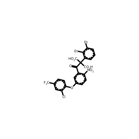 CCc1cccc(C(C(=O)O)(C(=O)O)C(=O)c2cc(Oc3ccc(C(F)(F)F)cc3Cl)ccc2[N+](=O)[O-])c1CC